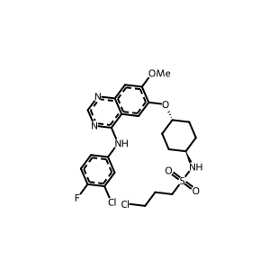 COc1cc2ncnc(Nc3ccc(F)c(Cl)c3)c2cc1O[C@H]1CC[C@H](NS(=O)(=O)CCCCl)CC1